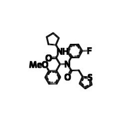 COc1ccccc1C(C(=O)NC1CCCC1)N(C(=O)Cc1cccs1)c1cccc(F)c1